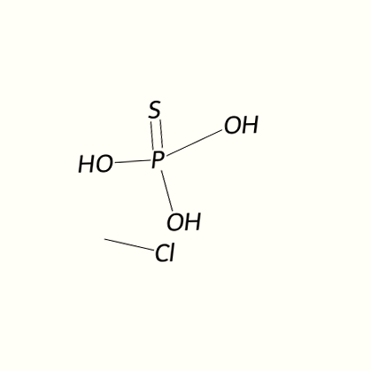 CCl.OP(O)(O)=S